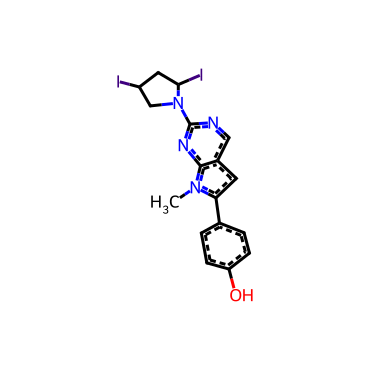 Cn1c(-c2ccc(O)cc2)cc2cnc(N3CC(I)CC3I)nc21